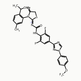 COC(C)c1ccc(C)cc1N1C(=O)CS/C1=N\C(=O)Nc1c(F)cc(-c2ncn(-c3ccc(OC(F)(F)F)cc3)n2)cc1F